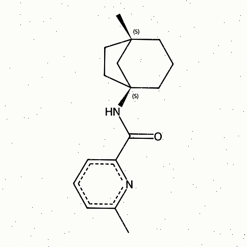 Cc1cccc(C(=O)N[C@@]23CCC[C@@](C)(CC2)C3)n1